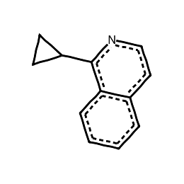 c1ccc2c(C3CC3)nccc2c1